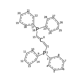 C(=CP(c1ccccc1)c1ccccc1)=CP(c1ccccc1)c1ccccc1